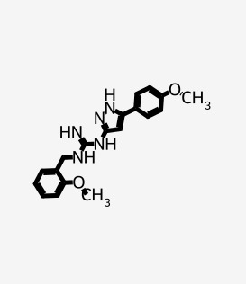 COc1ccc(-c2cc(NC(=N)NCc3ccccc3OC)n[nH]2)cc1